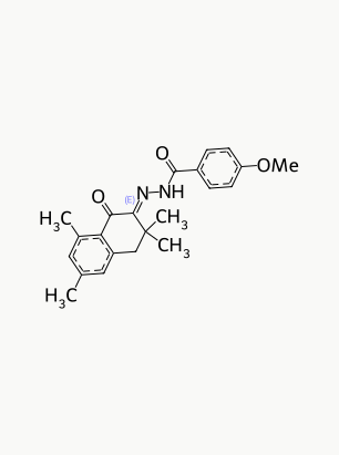 COc1ccc(C(=O)N/N=C2/C(=O)c3c(C)cc(C)cc3CC2(C)C)cc1